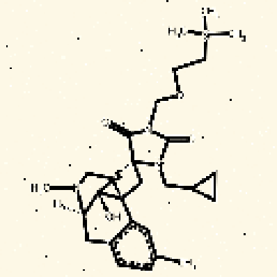 Cc1ccc2c(c1)[C@]13CCN(C)[C@H](C2)[C@]1(O)CC[C@]1(C3)C(=O)N(COCC[Si](C)(C)C)C(=O)N1CC1CC1